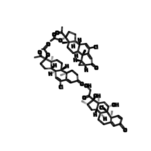 CC(=O)O[C@]1(C(C)=O)CC[C@H]2[C@@H]3C=C(Cl)C4=CC(=O)CC[C@]4(C)[C@H]3CC[C@@]21C.CC(=O)O[C@]1(C(C)=O)CC[C@H]2[C@@H]3C=C(Cl)C4=CC(=O)[C@@H]5C[C@@H]5[C@]4(C)[C@H]3CC[C@@]21C.C[C@H]1C[C@H]2[C@@H]3CCC4=CC(=O)C=C[C@]4(C)[C@@]3(Cl)[C@@H](O)C[C@]2(C)[C@@]1(O)C(=O)CO